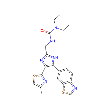 CCN(CC)C(=O)NCc1nc(-c2nc(C)cs2)c(-c2ccc3ncsc3c2)[nH]1